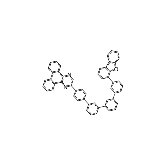 c1cc(-c2ccc(-c3cnc4c5ccccc5c5ccccc5c4n3)cc2)cc(-c2cccc(-c3cccc(-c4cccc5c4oc4ccccc45)c3)c2)c1